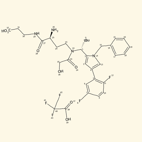 CC(C)(C)[C@H](c1cc(-c2cc(F)ccc2F)cn1Cc1ccccc1)N(CC[C@H](N)C(=O)NCCC(=O)O)C(=O)CO.O=C(O)C(F)(F)F